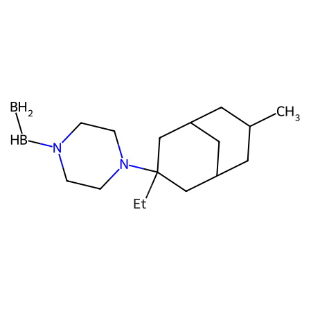 BBN1CCN(C2(CC)CC3CC(C)CC(C3)C2)CC1